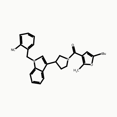 Cc1oc(C(C)(C)C)cc1C(=O)N1CCC(c2cn(Cc3ccccc3C#N)c3ccccc23)C1